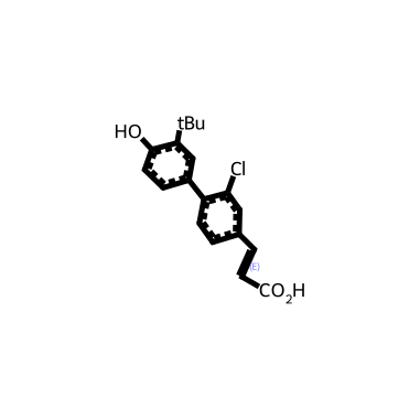 CC(C)(C)c1cc(-c2ccc(/C=C/C(=O)O)cc2Cl)ccc1O